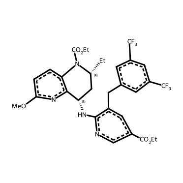 CCOC(=O)c1cnc(N[C@H]2C[C@@H](CC)N(C(=O)OCC)c3ccc(OC)nc32)c(Cc2cc(C(F)(F)F)cc(C(F)(F)F)c2)c1